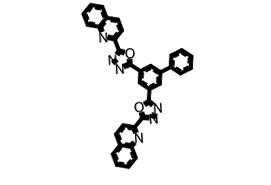 c1ccc(-c2cc(-c3nnc(-c4ccc5ccccc5n4)o3)cc(-c3nnc(-c4ccc5ccccc5n4)o3)c2)cc1